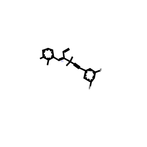 C=C/C(=C\c1cccc(C)c1C)C(C)(C)C#Cc1cc(F)cc(F)c1